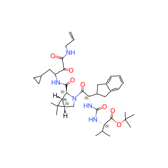 C=CCNC(=O)C(=O)C(CC1CC1)NC(=O)[C@@H]1[C@@H]2[C@H](CN1C(=O)[C@@H](NC(=O)N[C@H](C(=O)OC(C)(C)C)C(C)C)C1Cc3ccccc3C1)C2(C)C